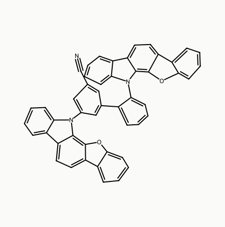 N#Cc1cc(-c2ccccc2-n2c3ccccc3c3ccc4c5ccccc5oc4c32)cc(-n2c3ccccc3c3ccc4c5ccccc5oc4c32)c1